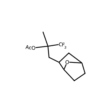 CC(=O)OC(C)(CC1CC2CCC1O2)C(F)(F)F